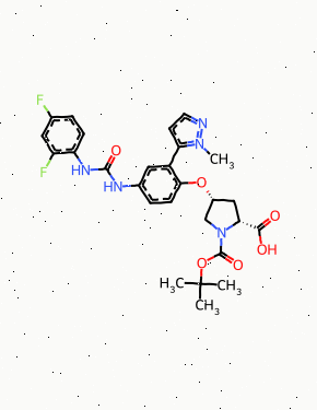 Cn1nccc1-c1cc(NC(=O)Nc2ccc(F)cc2F)ccc1O[C@@H]1C[C@H](C(=O)O)N(C(=O)OC(C)(C)C)C1